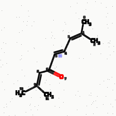 CC(C)=C/C=C/C(=O)C=C(C)C